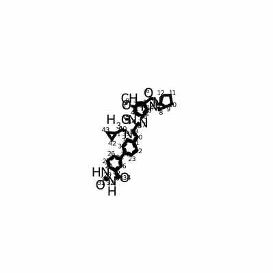 COc1cc(C(=O)N2CC3CCC2C3N)cc2nc(-c3cc4ccc(-c5ccc6[nH]c(=O)[nH]c(=O)c6c5)cc4n3CC3CC3)n(C)c12